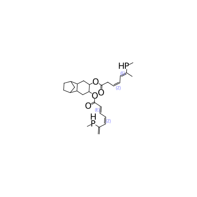 C=C(/C=C\C=C\C(=O)OC1CC2C3CCC(C3)C2CC1OC(=O)C/C=C\C=C(/C)PC)PC